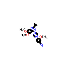 COc1cc2nc(C3CC3)nc(N3CCN(c4ccc(C#N)cc4OC)CC3)c2cc1OC